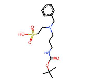 CC(C)(C)OC(=O)NCCCN(CCS(=O)(=O)O)Cc1ccccc1